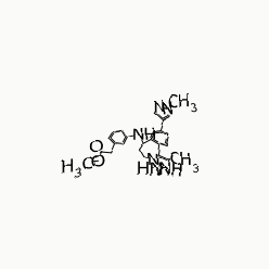 COC(=O)Cc1cccc(NC2CCN3NNC(C)=C3c3ccc(-c4cnn(C)c4)cc32)c1